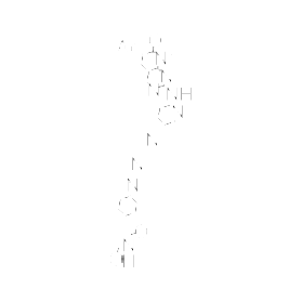 CC(=O)c1c(C)c2cnc(Nc3ccc(CN4CCC[C@H](N5CCN(c6ccc(C7CCC(=O)NC7=O)cc6)CC5)C4)cn3)nc2n(C2CCCC2)c1=O